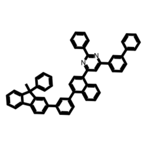 CC1(c2ccccc2)c2ccccc2-c2ccc(-c3cccc(-c4ccc(-c5cc(-c6cccc(-c7ccccc7)c6)nc(-c6ccccc6)n5)c5ccccc45)c3)cc21